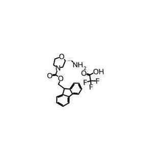 NC[C@@H]1CN(C(=O)OCC2c3ccccc3-c3ccccc32)CCO1.O=C(O)C(F)(F)F